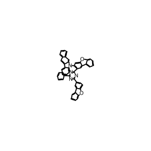 c1ccc(-c2nc(-c3ccc4oc5ccccc5c4c3)nc(-c3cc4c(cc3-n3c5ccccc5c5cc6ccccc6cc53)oc3ccccc34)n2)cc1